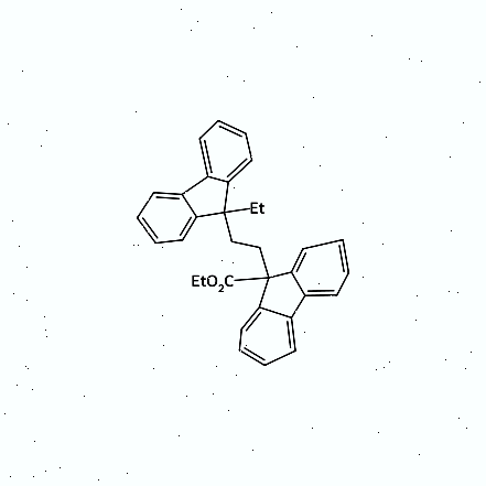 CCOC(=O)C1(CCC2(CC)c3ccccc3-c3ccccc32)c2ccccc2-c2ccccc21